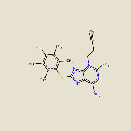 C#CCCn1c(C)nc(N)c2nc(Sc3c(C)c(C)c(C)c(C)c3C)nc1-2